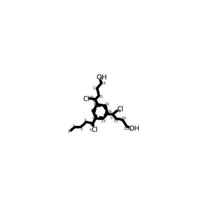 CCCCC(Cl)c1cc(C(Cl)CCCO)cc(C(Cl)CCCO)c1